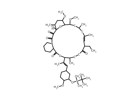 CCC1/C=C(\C)CC(C)CC(OC)C2OC(O)(C(=O)C(=O)N3CCCCC3C(=O)OC(C(C)=CC3CCC(OC)C(O[Si](C)(C)C(C)(C)C)C3)C(C)CCC1=O)C(C)CC2OC